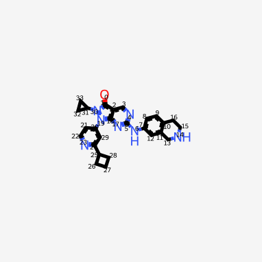 O=c1c2cnc(Nc3ccc4c(c3)CNCC4)nc2n(-c2ccnc(C3CCC3)c2)n1C1CC1